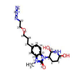 Cn1c(=O)n(C2CCC(O)NC2O)c2ccc(CCCOCCN=[N+]=[N-])cc21